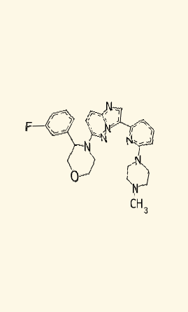 CN1CCN(c2cccc(-c3cnc4ccc(N5CCOCC5c5cccc(F)c5)nn34)n2)CC1